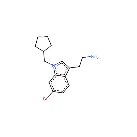 NCCc1cn(CC2CCCC2)c2cc(Br)ccc12